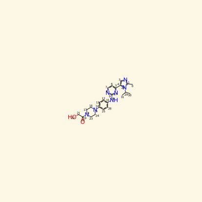 Cc1ncc(-c2ccnc(Nc3ccc(N4CCN(C(=O)CO)CC4)cc3)n2)n1C(C)C